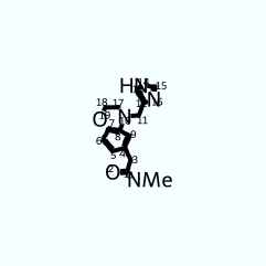 CNC(=O)Cc1ccc2c(c1)N(Cc1c[nH]cn1)CCO2